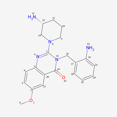 COc1ccc2nc(N3CCC[C@@H](N)C3)n(Cc3ccccc3N)c(=O)c2c1